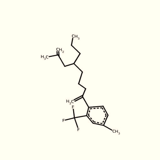 C=C(C)CC(CCC)CCCC(=C)c1ccc(C)cc1C(F)(F)F